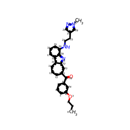 CCCOc1cccc(C(=O)c2cccc3c4cccc(NCCc5cnn(C)c5)c4nc-3c2)c1